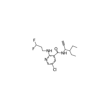 C#CC(NC(=O)c1cc(Cl)cnc1NCCC(F)F)C(CC)CC